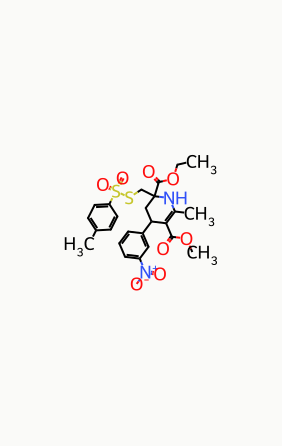 CCOC(=O)C1(CSS(=O)(=O)c2ccc(C)cc2)CC(c2cccc([N+](=O)[O-])c2)C(C(=O)OC)=C(C)N1